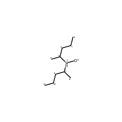 CCCC(C)[SiH](Cl)C(C)CCC